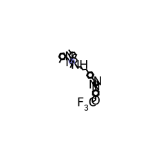 Cc1cccc(N2/C(=N/C(C)NCCCCc3ccc(-c4ncn(-c5ccc(OC(F)(F)F)cc5)n4)cc3)SCCC2C)c1